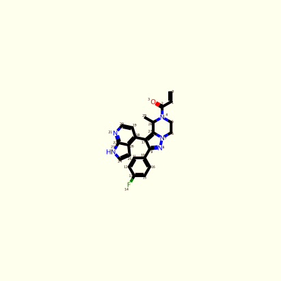 C=CC(=O)N1CCn2nc(-c3ccc(F)cc3)c(-c3ccnc4[nH]ccc34)c2C1C